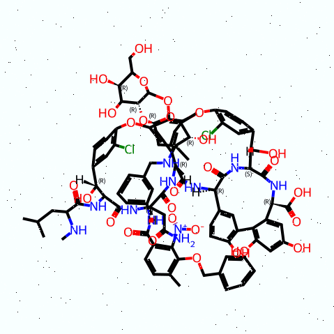 CNC(CC(C)C)C(=O)NC1C(=O)N[C@@H](CC(N)=O)C(=O)N[C@H]2C(=O)N[C@H]3C(=O)N[C@H](C(=O)N[C@@H](C(=O)O)c4cc(O)cc(O)c4-c4cc3ccc4O)C(O)c3ccc(c(Cl)c3)Oc3cc2cc(c3OC2OC(CO)[C@H](O)C(O)[C@H]2O[C@@H]2CC(C)(NCc3cccc(NC(=O)c4ccc(C)c(OCc5ccccc5)c4[N+](=O)[O-])c3)[C@@H](O)C(C)O2)Oc2ccc(cc2Cl)[C@H]1O